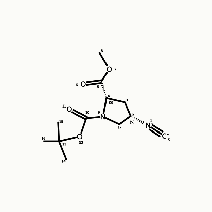 [C-]#[N+][C@H]1C[C@@H](C(=O)OC)N(C(=O)OC(C)(C)C)C1